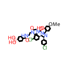 COc1ccc(C2=N[C@@H](c3ccc(Cl)cc3)[C@@H](c3ccc(Cl)cc3)N2C(=O)N2CCN(CCNC(=O)c3ccc(B(O)O)cc3)C(=O)C2)c(O)c1